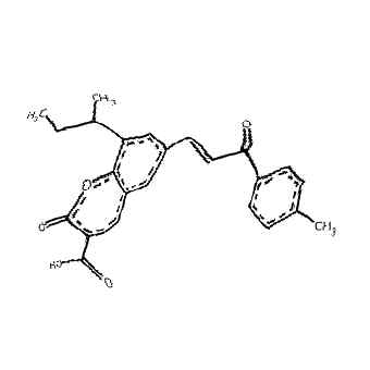 CCC(C)c1cc(C=CC(=O)c2ccc(C)cc2)cc2cc(C(=O)O)c(=O)oc12